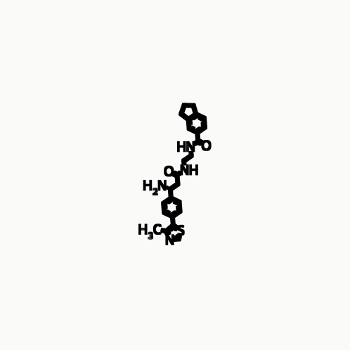 Cc1ncsc1-c1ccc([C@@H](N)CC(=O)NCCNC(=O)c2ccc3c(c2)CCC3)cc1